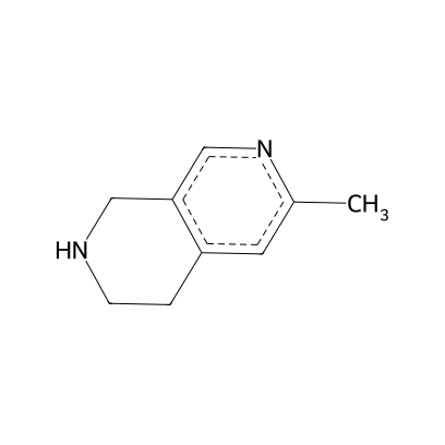 Cc1cc2c(cn1)CNCC2